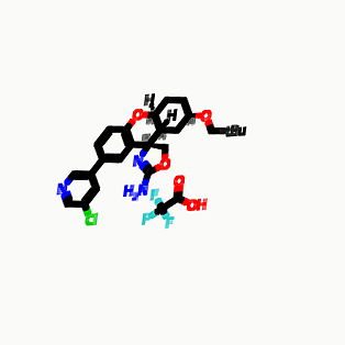 CC(C)(C)CO[C@@H]1CC[C@@H]2Oc3ccc(-c4cncc(Cl)c4)cc3[C@]3(COC(N)=N3)[C@H]2C1.O=C(O)C(F)(F)F